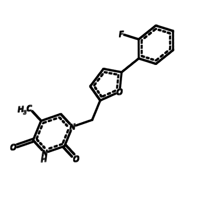 Cc1cn(Cc2ccc(-c3ccccc3F)o2)c(=O)[nH]c1=O